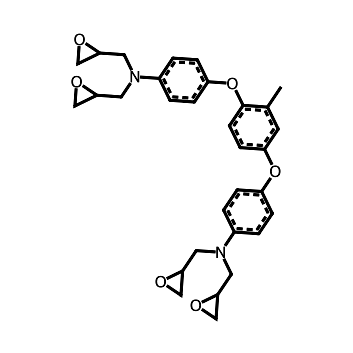 Cc1cc(Oc2ccc(N(CC3CO3)CC3CO3)cc2)ccc1Oc1ccc(N(CC2CO2)CC2CO2)cc1